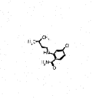 CC(C)CCNc1cc(Cl)ccc1C(N)=O